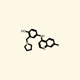 Oc1ccc(Nc2ccnc3cc(I)ccc23)cc1CN1CCCC1